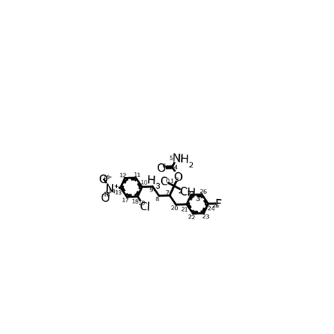 CC(C)(OC(N)=O)C(CCc1ccc([N+](=O)[O-])cc1Cl)Cc1ccc(F)cc1